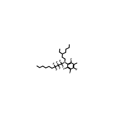 CCCCCCC(F)(F)C(F)(F)C(F)(F)N(CCC(CC)CCCC)c1c(F)c(C)c(F)c(F)c1F